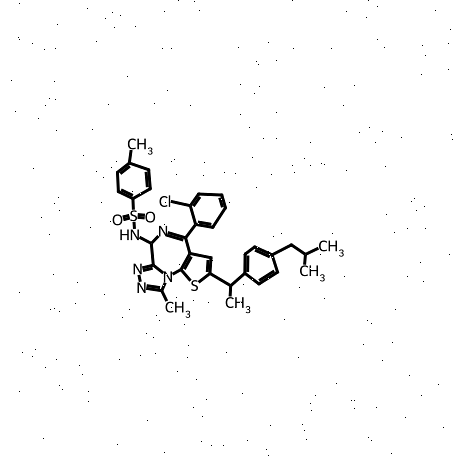 Cc1ccc(S(=O)(=O)NC2N=C(c3ccccc3Cl)c3cc(C(C)c4ccc(CC(C)C)cc4)sc3-n3c(C)nnc32)cc1